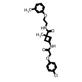 Cc1cccc(OCCNC(=O)C2(C)C=C(NC(=O)COc3ccc(Cl)cc3)C2)c1